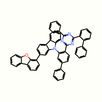 c1ccc(-c2ccc(-c3nc(-c4ccccc4)nc(-c4ccccc4-c4ccccc4)n3)c(-n3c4ccccc4c4ccc(-c5cccc6c5oc5ccccc56)cc43)c2)cc1